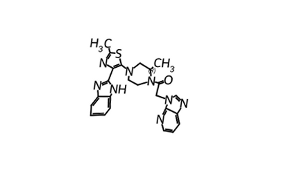 Cc1nc(-c2nc3ccccc3[nH]2)c(N2CCN(C(=O)Cn3cnc4cccnc43)[C@H](C)C2)s1